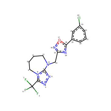 FC(F)(F)c1nnc2n1CCCCN2Cc1noc(-c2cccc(Cl)c2)n1